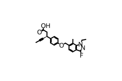 CC#C[C@@H](CC(=O)O)c1ccc(OCc2ccc3c(F)nn(CC)c3c2C)cc1